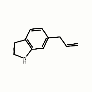 C=CCc1ccc2c(c1)NCC2